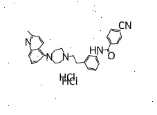 Cc1ccc2c(N3CCN(CCc4cccc(NC(=O)c5ccc(C#N)cc5)c4)CC3)cccc2n1.Cl.Cl